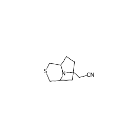 N#CCC12CCC3CSCC(C1)N32